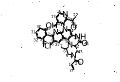 C=CC(=O)N1CC(C)N2c3c(c(=O)n(-c4c(C)ccnc4C(C)C)c4nc(-c5c(O)cccc5F)c(Cl)cc34)NC(=O)C2C1